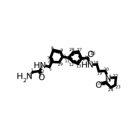 NCC(=O)NCC1=CC=CC(c2ccc(C(=O)NCCCN3CCCC3=O)cc2)C1